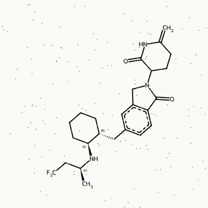 C=C1CCC(N2Cc3cc(C[C@H]4CCCC[C@@H]4N[C@@H](C)CC(F)(F)F)ccc3C2=O)C(=O)N1